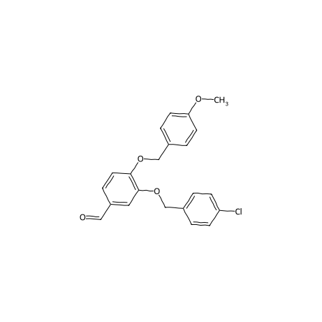 COc1ccc(COc2ccc(C=O)cc2OCc2ccc(Cl)cc2)cc1